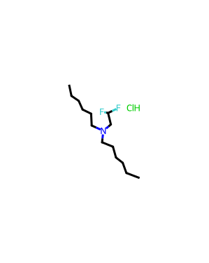 CCCCCCN(CCCCCC)CC(F)F.Cl